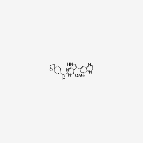 COc1nc(NC2CCC3(CCO3)CC2)nc2[nH]cc(-c3ccc4nccnc4c3)c12